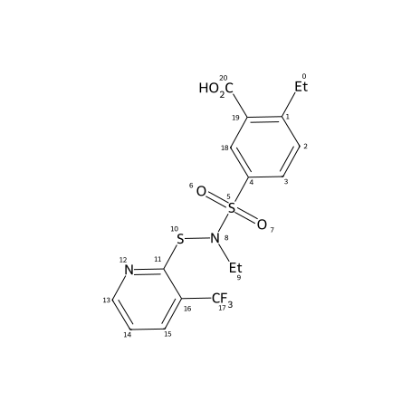 CCc1ccc(S(=O)(=O)N(CC)Sc2ncccc2C(F)(F)F)cc1C(=O)O